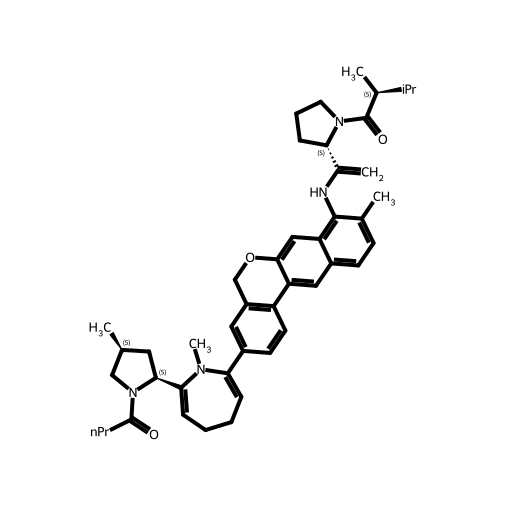 C=C(Nc1c(C)ccc2cc3c(cc12)OCc1cc(C2=CCCC=C([C@@H]4C[C@H](C)CN4C(=O)CCC)N2C)ccc1-3)[C@@H]1CCCN1C(=O)[C@@H](C)C(C)C